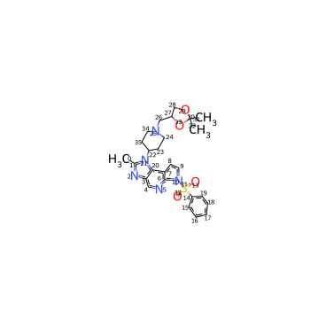 Cc1nc2cnc3c(ccn3S(=O)(=O)c3ccccc3)c2n1C1CCN(CC2COC(C)(C)O2)CC1